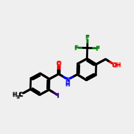 Cc1ccc(C(=O)Nc2ccc(CO)c(C(F)(F)F)c2)c(I)c1